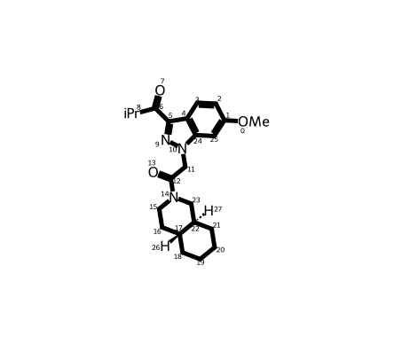 COc1ccc2c(C(=O)C(C)C)nn(CC(=O)N3CC[C@H]4CCCC[C@@H]4C3)c2c1